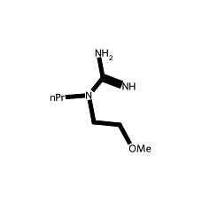 CCCN(CCOC)C(=N)N